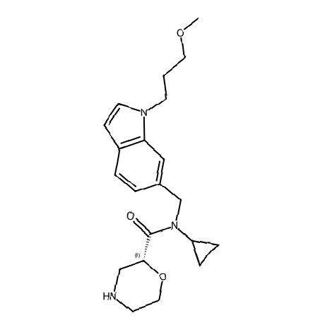 COCCCn1ccc2ccc(CN(C(=O)[C@H]3CNCCO3)C3CC3)cc21